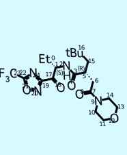 CC[C@H](NC(=O)[C@@H](CC(=O)N1CCOCC1)CC(C)(C)C)C(=O)c1noc(C(F)(F)F)n1